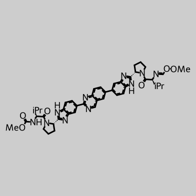 COO/C=N/[C@H](C(=O)N1CCC[C@H]1c1nc2cc(-c3ccc4nc(-c5ccc6[nH]c([C@@H]7CCCN7C(=O)[C@@H](NC(=O)OC)C(C)C)nc6c5)ncc4c3)ccc2[nH]1)C(C)C